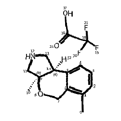 Cc1cccc2c1CO[C@@]1(C)CNC[C@@H]21.O=C(O)C(F)(F)F